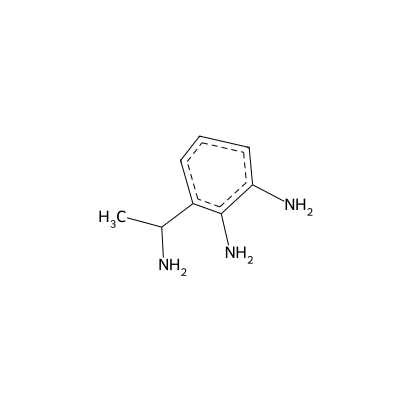 CC(N)c1cccc(N)c1N